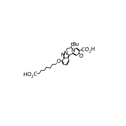 CC(C)(C)[C@@H]1Cn2nc3c(OCCCCCCCC(=O)O)cccc3c2-c2cc(=O)c(C(=O)O)cn21